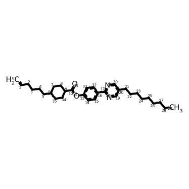 C=CCCCCC1CCC(C(=O)Oc2ccc(-c3ncc(CCCCCCCCC)cn3)cc2)CC1